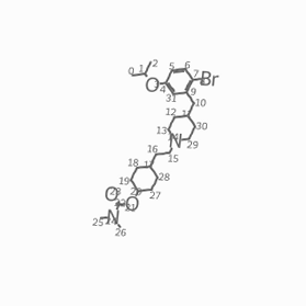 CC(C)Oc1ccc(Br)c(CC2CCN(CCC3CCC(OC(=O)N(C)C)CC3)CC2)c1